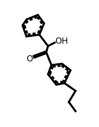 CCCc1ccc(C(=O)C(O)c2ccccc2)cc1